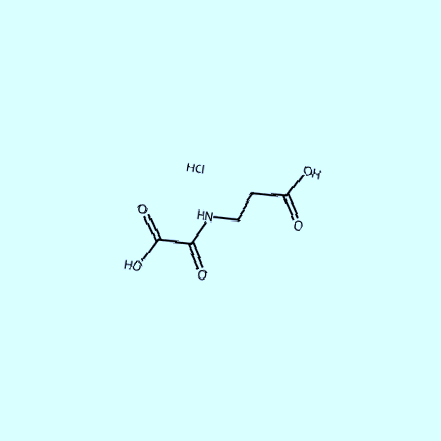 Cl.O=C(O)CCNC(=O)C(=O)O